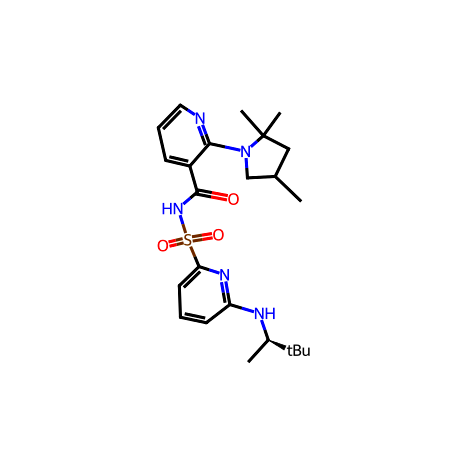 CC1CN(c2ncccc2C(=O)NS(=O)(=O)c2cccc(N[C@H](C)C(C)(C)C)n2)C(C)(C)C1